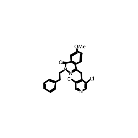 COc1ccc2c(Cc3c(Cl)cncc3Cl)nn(CCc3ccccc3)c(=O)c2c1